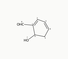 O=CC1=CC=CCC1O